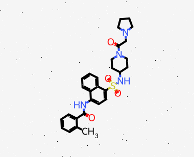 Cc1ccccc1C(=O)Nc1ccc(S(=O)(=O)NC2CCN(C(=O)CN3CCCC3)CC2)c2ccccc12